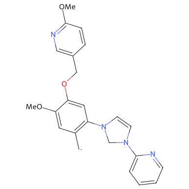 [CH2]c1cc(OC)c(OCc2ccc(OC)nc2)cc1N1C=CN(c2ccccn2)C1